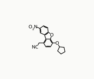 N#CCc1ccc(OC2CCCC2)c2oc3ccc([N+](=O)[O-])cc3c12